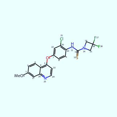 COc1ccc2c(Oc3ccc(NC(=S)N4CC(F)(F)C4)c(Cl)c3)ccnc2c1